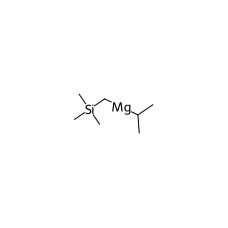 C[CH](C)[Mg][CH2][Si](C)(C)C